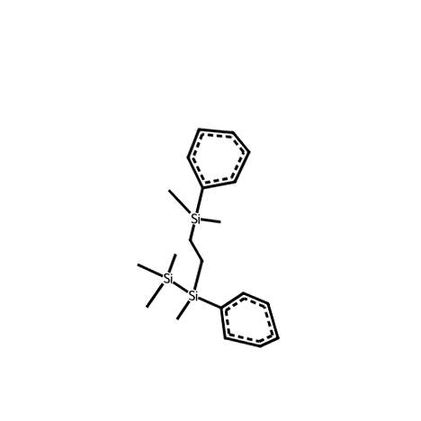 C[Si](C)(CC[Si](C)(c1ccccc1)[Si](C)(C)C)c1ccccc1